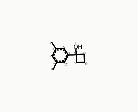 Cc1cc(C)cc(C2(O)C[CH]C2)c1